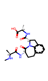 CN[C@@H](C)C(=O)N[C@H]1CCc2cccc3c2N(C1=O)[C@H](C(=O)N[C@@H](C)C(=O)O)C3